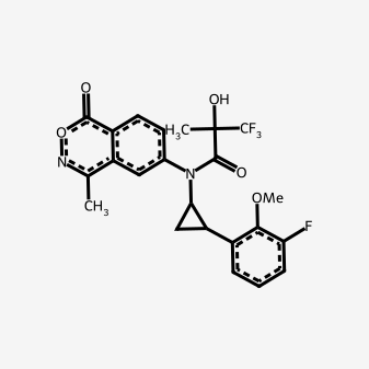 COc1c(F)cccc1C1CC1N(C(=O)C(C)(O)C(F)(F)F)c1ccc2c(=O)onc(C)c2c1